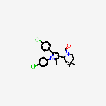 Cc1c(C2C[Si](C)(C)CCN2C=O)cc(-c2ccc(Cl)cc2)n1-c1ccc(Cl)cc1